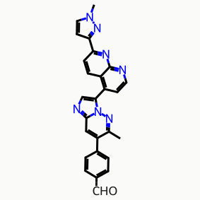 Cc1nn2c(-c3ccnc4nc(-c5ccn(C)n5)ccc34)cnc2cc1-c1ccc(C=O)cc1